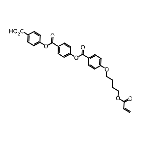 C=CC(=O)OCCCCOc1ccc(C(=O)Oc2ccc(C(=O)Oc3ccc(C(=O)O)cc3)cc2)cc1